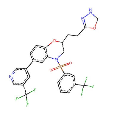 O=S(=O)(c1cccc(C(F)(F)F)c1)N1CC(CCC2=NNCO2)Oc2ccc(-c3cncc(C(F)(F)F)c3)cc21